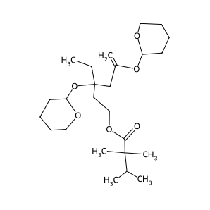 C=C(CC(CC)(CCOC(=O)C(C)(C)C(C)C)OC1CCCCO1)OC1CCCCO1